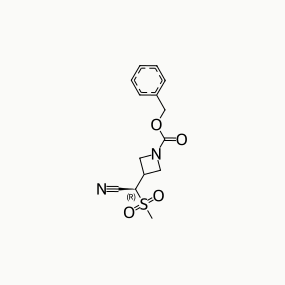 CS(=O)(=O)[C@@H](C#N)C1CN(C(=O)OCc2ccccc2)C1